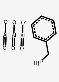 [Hf+3][CH2]c1ccccc1.[O]=[Al][O-].[O]=[Al][O-].[O]=[Al][O-]